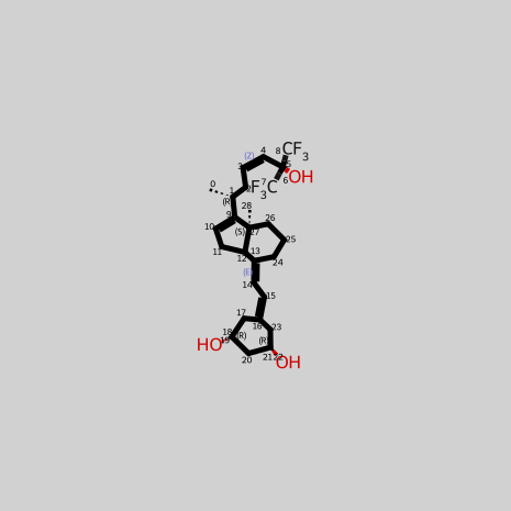 C[C@H](C/C=C\C(O)(C(F)(F)F)C(F)(F)F)C1=CCC2/C(=C/C=C3C[C@@H](O)C[C@H](O)C3)CCC[C@]12C